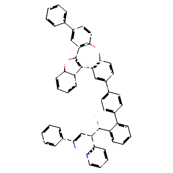 N/C(=C\C(c1ccccc1)[C@@H](N)c1ccccc1-c1ccc(-c2ccc3c(c2)C2=C(OC4C=CC=CC24)c2cc(-c4ccccc4)ccc2O3)cc1)c1ccccc1